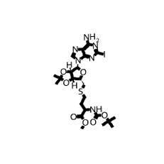 COC(=O)C(CCSC[C@H]1O[C@@H](n2cnc3c(N)nc(I)nc32)[C@@H]2OC(C)(C)O[C@H]21)NC(=O)OC(C)(C)C